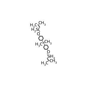 CC(C)=C[SiH2]COc1ccc(C(C)(C)c2ccc(OC[SiH2]C=C(C)C)cc2)cc1